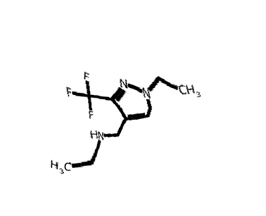 CCNCc1cn(CC)nc1C(F)(F)F